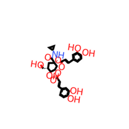 O=C(/C=C/c1ccc(O)c(O)c1)O[C@@H]1C[C@](OC(=O)/C=C/c2ccc(O)c(O)c2)(C(=O)NC2CC2)C[C@@H](CO)[C@H]1O